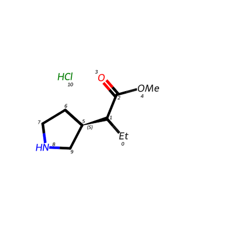 CCC(C(=O)OC)[C@@H]1CCNC1.Cl